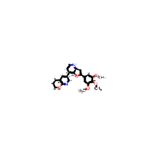 COc1cc(C2Cc3nccc(-c4cnc5c(c4)CCCO5)c3O2)cc(OC)c1OC